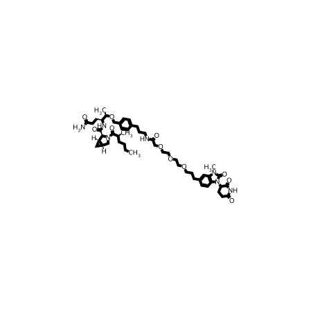 CCCC[C@H](C)C(=O)N1C[C@H]2C[C@H]2[C@H]1C(=O)N[C@@H](CCC(N)=O)[C@@H](C)OCc1ccc(CCCNC(=O)COCCOCCOCCCc2ccc3c(c2)n(C)c(=O)n3C2CCC(=O)NC2=O)cc1